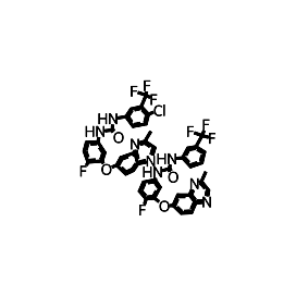 Cc1cnc2ccc(Oc3cc(NC(=O)Nc4ccc(Cl)c(C(F)(F)F)c4)ccc3F)cc2n1.Cc1cnc2ccc(Oc3cc(NC(=O)Nc4cccc(C(F)(F)F)c4)ccc3F)cc2n1